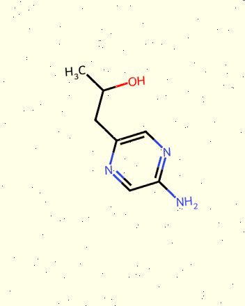 CC(O)Cc1cnc(N)cn1